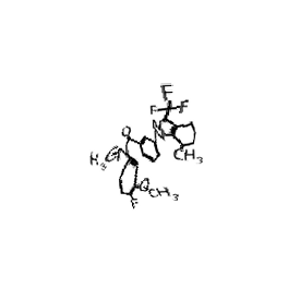 COc1cc(N(C)C(=O)c2cccc(-n3nc(C(F)(F)F)c4c3C(C)CCC4)c2)ccc1F